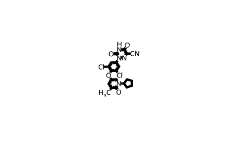 Cc1cc(Oc2c(Cl)cc(-n3nc(C#N)c(=O)[nH]c3=O)cc2Cl)cn(C2CCCC2)c1=O